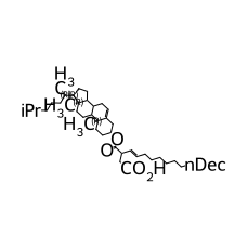 CCCCCCCCCCCCCCCCC=CC(CC(=O)O)C(=O)OC1CC[C@@]2(C)C(=CCC3C2CC[C@@]2(C)C3CC[C@@H]2[C@H](C)CCCC(C)C)C1